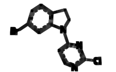 Clc1nccc(N2CCc3ccc(Br)cc32)n1